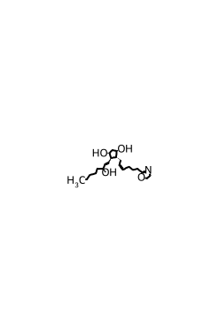 CCCCC[C@H](O)/C=C/[C@@H]1[C@@H](C/C=C\CCCC2=NCCO2)[C@@H](O)C[C@H]1O